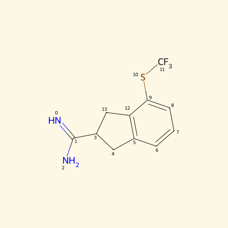 N=C(N)C1Cc2cccc(SC(F)(F)F)c2C1